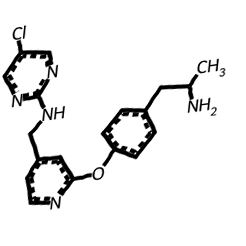 CC(N)Cc1ccc(Oc2cc(CNc3ncc(Cl)cn3)ccn2)cc1